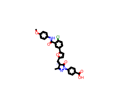 COc1ccc(NC(=O)c2cc(-c3ccc(/C=C4\C(=O)N(c5ccc(C(=O)O)cc5)N=C4C)o3)ccc2Cl)cc1